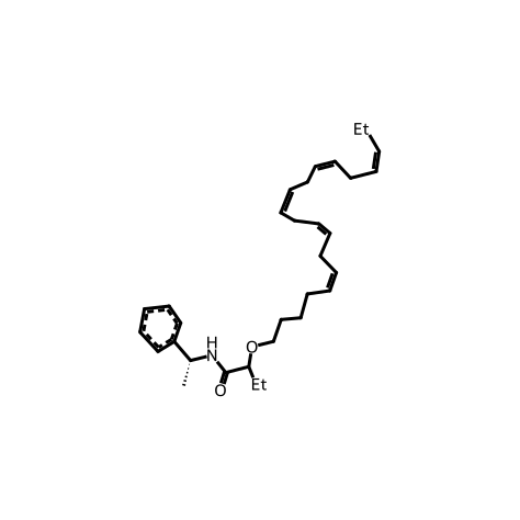 CC/C=C\C/C=C\C/C=C\C/C=C\C/C=C\CCCCOC(CC)C(=O)N[C@H](C)c1ccccc1